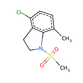 Cc1ccc(Cl)c2c1N(S(C)(=O)=O)CC2